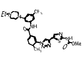 CCN1CCN(c2cc(NC(=O)C3=CCC(C)C(n4cc(-c5cnc(NC(=O)OC)s5)nn4)=C3)cc(C(F)(F)F)c2)CC1